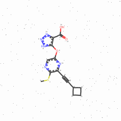 CSc1ncc(Oc2[nH]nnc2C(=O)O)nc1C#CC1CCC1